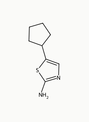 Nc1ncc(C2CCCC2)s1